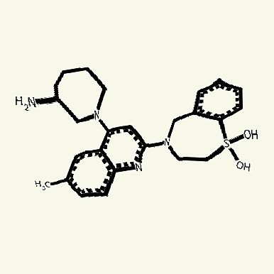 Cc1ccc2nc(N3CCS(O)(O)c4ccccc4C3)cc(N3CCCC(N)C3)c2c1